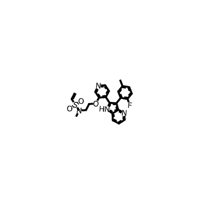 C=CS(=O)(=O)N(C)CCOc1cnccc1-c1[nH]c2cccnc2c1-c1cc(C)ccc1F